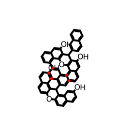 Oc1ccc2ccc3c(c2c1)C(c1cccc2cc(-c4cccc5cc(O)c6c(c45)Oc4c(c(O)cc5ccccc45)C6c4ccc5ccccc5c4)ccc12)c1c(ccc2ccc(O)cc12)O3